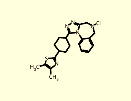 Cc1nc(C2CCC(c3nnc4n3-c3ccccc3CN(Cl)C4)CC2)sc1C